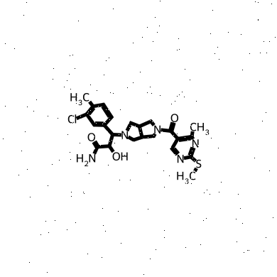 CSc1ncc(C(=O)N2CC3CN(C(c4ccc(C)c(Cl)c4)C(O)C(N)=O)CC3C2)c(C)n1